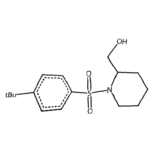 CC(C)(C)c1ccc(S(=O)(=O)N2CCCCC2CO)cc1